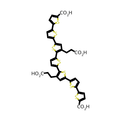 O=C(O)CCc1cc(-c2ccc(-c3ccc(C(=O)O)s3)s2)sc1-c1ccc(-c2sc(-c3ccc(-c4ccc(C(=O)O)s4)s3)cc2CCC(=O)O)s1